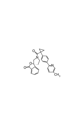 Cc1ccc(-c2ccc(C3(C(=O)N4CC[C@@]5(C4)OC(=O)c4ccccc45)CC3)cc2)nc1